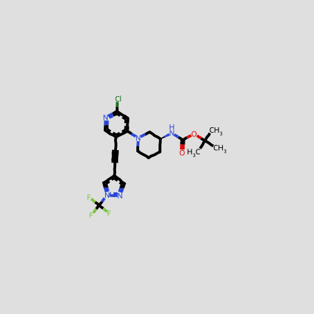 CC(C)(C)OC(=O)N[C@H]1CCCN(c2cc(Cl)ncc2C#Cc2cnn(C(F)(F)F)c2)C1